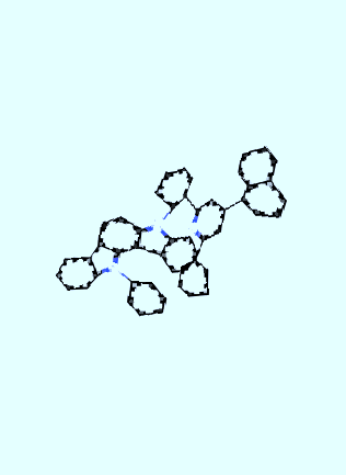 c1ccc(-c2cc(-c3cccc4ccccc34)cc(-c3ccccc3-n3c4ccccc4c4c3ccc3c5ccccc5n(-c5ccccc5)c34)n2)cc1